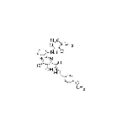 COc1ccc(CCNC(=O)c2nc3n(c(=O)c2O)CC2CCC3(NC(=O)C(=O)N(C)C)CC2)cc1